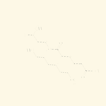 CC(O)CCOC(=O)CCCCC(=O)O.OCCCCCCO